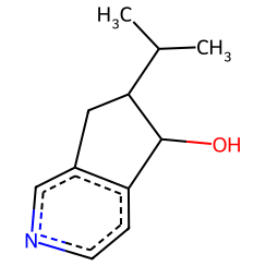 CC(C)C1Cc2cnccc2C1O